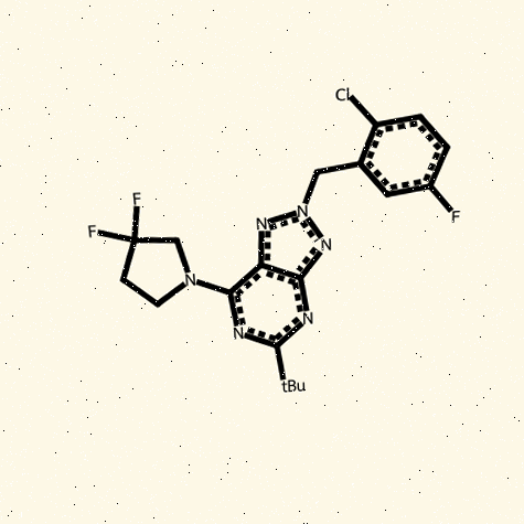 CC(C)(C)c1nc(N2CCC(F)(F)C2)c2nn(Cc3cc(F)ccc3Cl)nc2n1